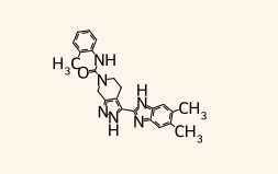 Cc1cc2nc(-c3[nH]nc4c3CCN(C(=O)Nc3ccccc3C)C4)[nH]c2cc1C